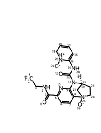 O=C(NCC(F)(F)F)c1ccc2c(n1)N(C(=O)NC1=CC=CC[NH+]1[O-])[C@H]1CC[N+]2([O-])C1